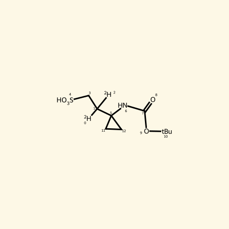 [2H]C([2H])(CS(=O)(=O)O)C1(NC(=O)OC(C)(C)C)CC1